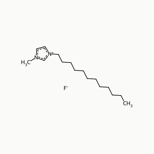 CCCCCCCCCCCC[n+]1ccn(C)c1.[F-]